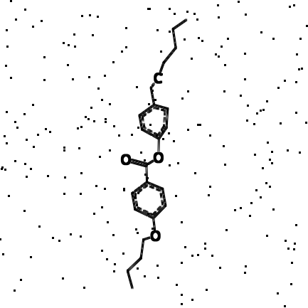 CCCCCCc1ccc(OC(=O)c2ccc(OCCCC)cc2)cc1